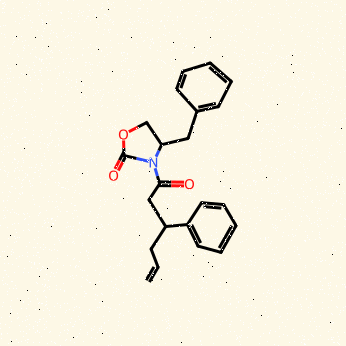 C=CCC(CC(=O)N1C(=O)OCC1Cc1ccccc1)c1ccccc1